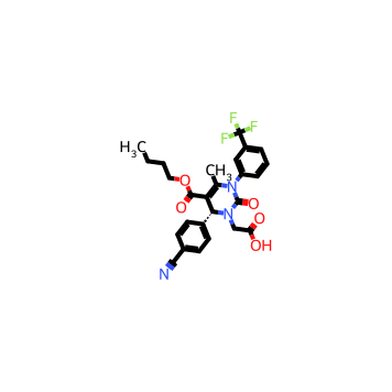 CCCCOC(=O)C1=C(C)N(c2cccc(C(F)(F)F)c2)C(=O)N(CC(=O)O)[C@@H]1c1ccc(C#N)cc1